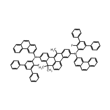 Cc1c2c3c(cccc3c3cc(N(c4ccc5ccc6ccccc6c5c4)c4cc(-c5ccccc5)cc(-c5ccccc5)c4F)ccc13)C(C)(C)c1cc(N(c3ccc4ccc5ccccc5c4c3)c3cc(-c4ccccc4)cc(-c4ccccc4)c3F)ccc1-2